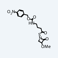 COC1CN(SC(=O)CCCNC(=O)OCc2ccc([N+](=O)[O-])cc2)C1=O